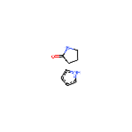 O=C1CCCN1.c1cc[nH]c1